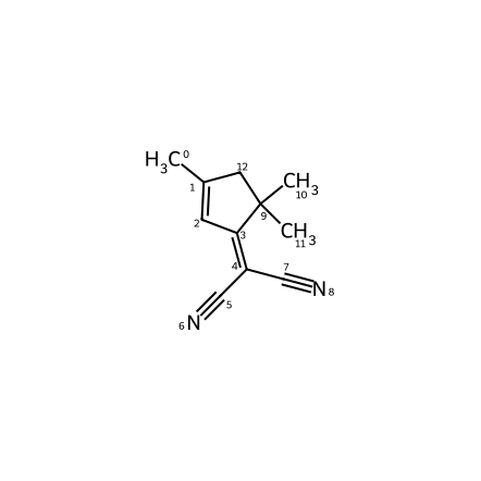 CC1=CC(=C(C#N)C#N)C(C)(C)C1